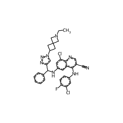 CCN1CC2(CC(n3cc(C(Nc4cc(Cl)c5ncc(C#N)c(Nc6ccc(F)c(Cl)c6)c5c4)c4ccccc4)nn3)C2)C1